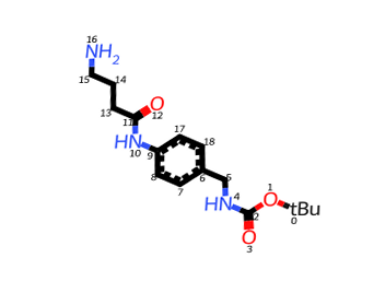 CC(C)(C)OC(=O)NCc1ccc(NC(=O)CCCN)cc1